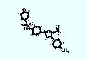 CC(=O)N1N=C(c2ccc(NS(=O)(=O)c3ccc(F)cc3)cc2)CC1c1ccc(C)cc1